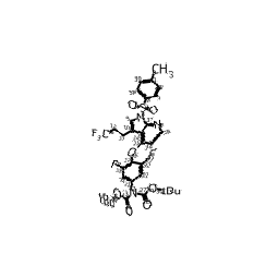 Cc1ccc(S(=O)(=O)n2cc(CCC(F)(F)F)c3c(Oc4c(F)cc(N(C(=O)OC(C)(C)C)C(=O)OC(C)(C)C)cc4F)ccnc32)cc1